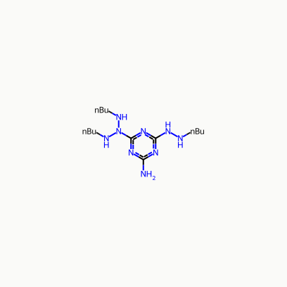 CCCCNNc1nc(N)nc(N(NCCCC)NCCCC)n1